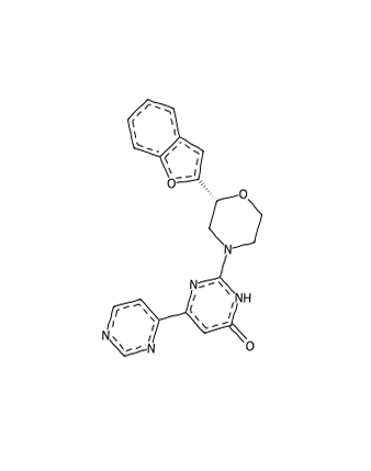 O=c1cc(-c2ccncn2)nc(N2CCO[C@@H](c3cc4ccccc4o3)C2)[nH]1